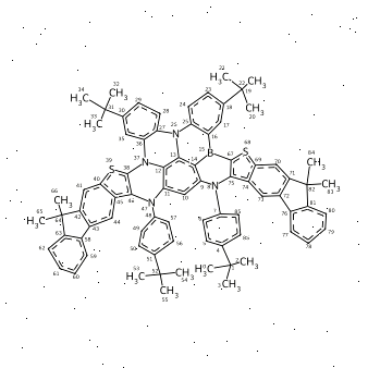 CC(C)(C)c1ccc(N2c3cc4c5c6c3B(c3cc(C(C)(C)C)ccc3N6c3ccc(C(C)(C)C)cc3N5c3sc5cc6c(cc5c3N4c3ccc(C(C)(C)C)cc3)-c3ccccc3C6(C)C)c3sc4cc5c(cc4c32)-c2ccccc2C5(C)C)cc1